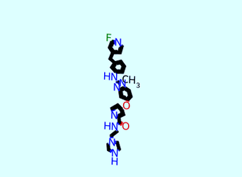 Cn1c(Nc2cccc(Cc3ccnc(F)c3)c2)nc2cc(Oc3ccnc(C(=O)NCCN4CCNCC4)c3)ccc21